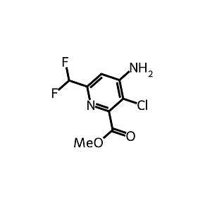 COC(=O)c1nc(C(F)F)cc(N)c1Cl